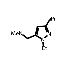 CCn1nc(C(C)C)cc1CNC